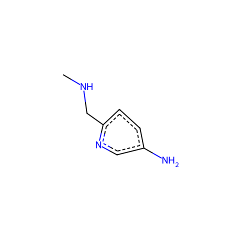 CNCc1ccc(N)cn1